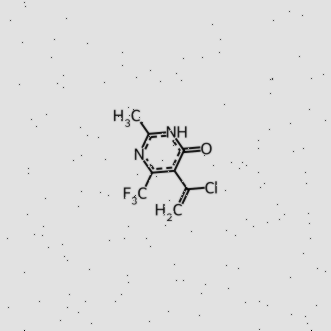 C=C(Cl)c1c(C(F)(F)F)nc(C)[nH]c1=O